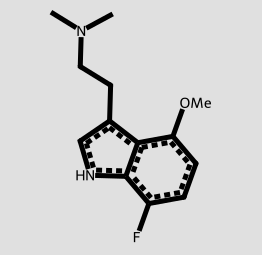 COc1ccc(F)c2[nH]cc(CCN(C)C)c12